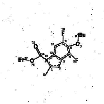 Cc1cc2c(F)c(OC(C)(C)C)c(F)cc2n1C(=O)OC(C)C